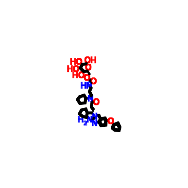 NC1=Nc2ccc(Oc3ccccc3)cc2CN1[C@@H](CCC(=O)N(CCCNC(=O)OC[C@@H]1O[C@H](O)[C@@H](O)[C@H](O)[C@H]1O)C1CCCCC1)C1CCCCC1